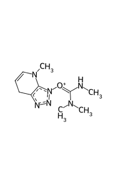 CNC(=[O+]n1nnc2c1N(C)C=CC2)N(C)C